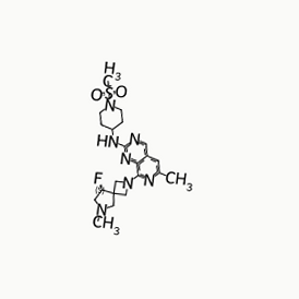 Cc1cc2cnc(NC3CCN(S(C)(=O)=O)CC3)nc2c(N2CC3(CN(C)C[C@H]3F)C2)n1